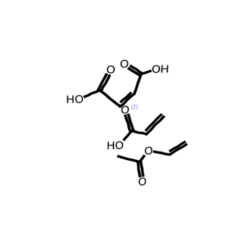 C=CC(=O)O.C=COC(C)=O.O=C(O)/C=C\C(=O)O